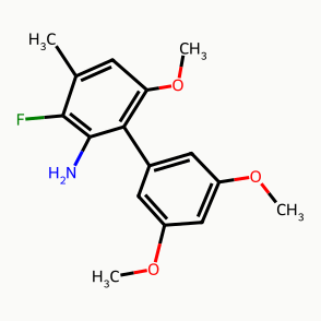 COc1cc(OC)cc(-c2c(OC)cc(C)c(F)c2N)c1